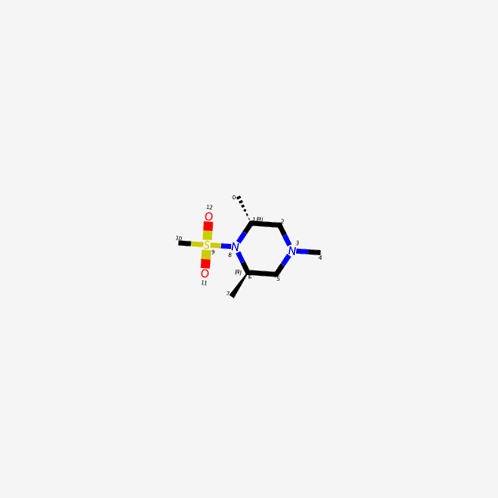 C[C@@H]1CN(C)C[C@@H](C)N1S(C)(=O)=O